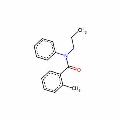 CCCN(C(=O)c1ccccc1C)c1ccccc1